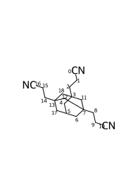 N#CCCC12CC3CC(CCC#N)(C1)CC(CCC#N)(C3)C2